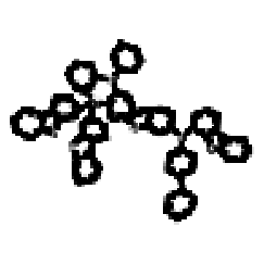 c1ccc(-c2ccc(N(c3ccc4c(c3)oc3cc5c(cc34)N(c3ccccc3)c3ccccc3[Si]5(c3ccc4c(c3)sc3ccccc34)c3ccc4c(c3)sc3ccccc34)c3cccc4c3oc3ccccc34)cc2)cc1